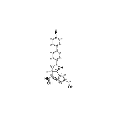 C[C@@](OCc1ccc(-c2ccc(F)cc2)cc1)(C(=O)NO)[C@@H](O)c1cc(CO)on1